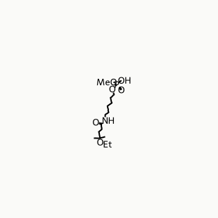 CCOC(C)(C)CCC(=O)NCCCCCCOP(=O)(O)OC